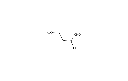 CCN([C]=O)CCOC(C)=O